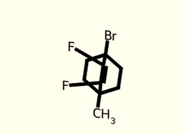 CC12CCC(Br)(CC1)C(F)=C2F